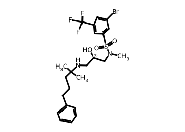 CN(C[C@H](O)CNC(C)(C)CCCc1ccccc1)S(=O)(=O)c1cc(Br)cc(C(F)(F)F)c1